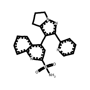 NS(=O)(=O)c1cc(-c2c(-c3ccccn3)nn3c2CCC3)c2ccccc2n1